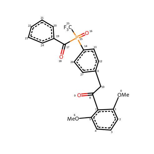 COc1cccc(OC)c1C(=O)Cc1ccc(P(=O)(C(=O)c2ccccc2)C(F)(F)F)cc1